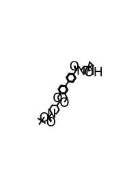 CC(C)(C)OC(=O)N1CCC(C2OCc3cc(-c4ccc(C(=O)NCC5(O)CC5)cc4)ccc3O2)CC1